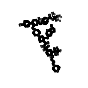 CC(C)(C)OC(=O)N1CC2CC1CN2C[C@]1(C)CCC(c2ccc(Cl)cc2)=C(CN2CCN(c3ccc(C(=O)NS(=O)(=O)c4ccc(NCCCN5CCOCC5)c(S(=O)(=O)C(F)(F)F)c4)c(Oc4cnc5[nH]ccc5c4)c3)CC2)C1